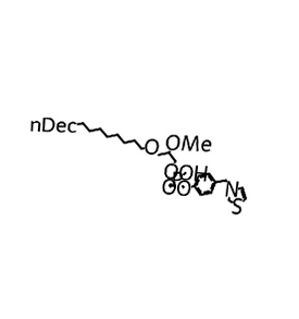 CCCCCCCCCCCCCCCCCCOCC(COP(=O)(O)Oc1ccc(CN2C=CSC2)cc1)OC